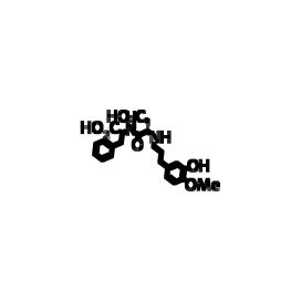 COc1ccc(CCCN[C@@H](CC(=O)O)C(=O)N[C@@H](Cc2ccccc2)C(=O)O)cc1O